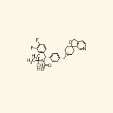 CC(C)(C)N(C(=O)O)C(c1ccc(CN2CCC3(CC2)OCc2ccncc23)cc1)c1ccc(F)c(F)c1